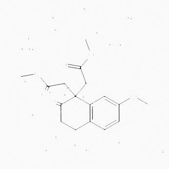 COC(=O)CC1(CC(=O)OC)C(=O)CCc2ccc(OC)cc21